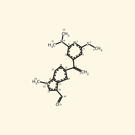 C=C(c1cc(SC)nc(N(C)C)c1)c1ccc2c(c1)c(C=O)cn2C